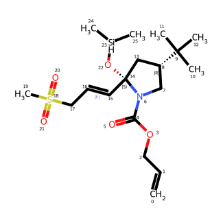 C=CCOC(=O)N1C[C@@H](C(C)(C)C)C[C@@]1(/C=C/CS(C)(=O)=O)O[SiH](C)C